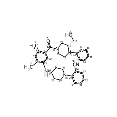 Cc1cc(C)c(C(=O)N2CCN(c3ccccn3)[C@@H](CO)C2)cc1NC1CCN(c2ccccc2C#N)CC1